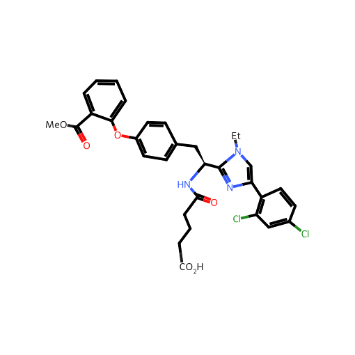 CCn1cc(-c2ccc(Cl)cc2Cl)nc1[C@H](Cc1ccc(Oc2ccccc2C(=O)OC)cc1)NC(=O)CCCC(=O)O